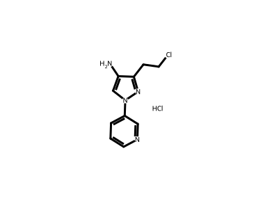 Cl.Nc1cn(-c2cccnc2)nc1CCCl